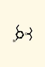 CCC(=O)CC.CCc1cccc(Br)c1